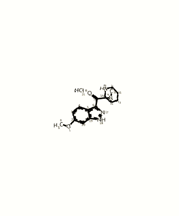 COc1ccc2c(C(=O)N3CC4CCC3CN4)n[nH]c2c1.Cl